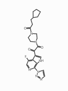 O=C(C(=O)N1CCN(C(=O)CCC2CCCC2)CC1)c1c[nH]c2c(-n3ccnn3)ncc(F)c12